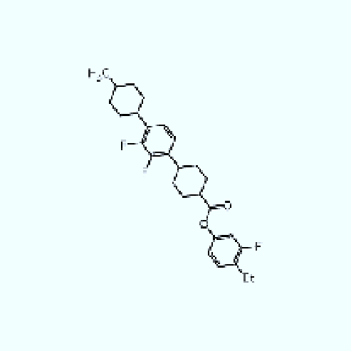 CCc1ccc(OC(=O)C2CCC(c3ccc(C4CCC(C)CC4)c(F)c3F)CC2)cc1F